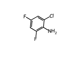 Nc1c(F)cc(F)cc1Cl